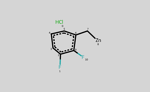 Cl.Fc1cccc([CH2][Zn])c1F